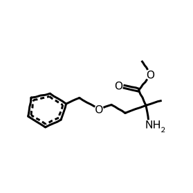 COC(=O)C(C)(N)CCOCc1ccccc1